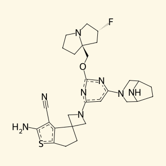 N#Cc1c(N)sc2c1C1(CC2)CN(c2cc(N3CC4CCC(C3)N4)nc(OC[C@@]34CCCN3C[C@H](F)C4)n2)C1